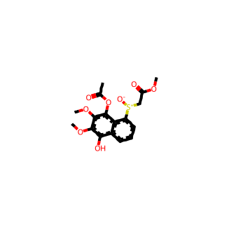 COC(=O)C[S+]([O-])c1cccc2c(O)c(OC)c(OC)c(OC(C)=O)c12